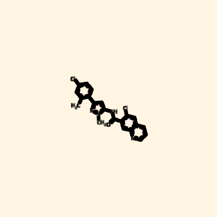 Cc1cc(Cl)ccc1-c1cc(NC(=O)c2cc3ncccc3cc2Cl)n(C)n1